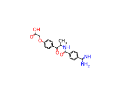 CC(NC(=O)c1ccc(C(=N)N)cc1)C(=O)c1ccc(OCC(=O)O)cc1